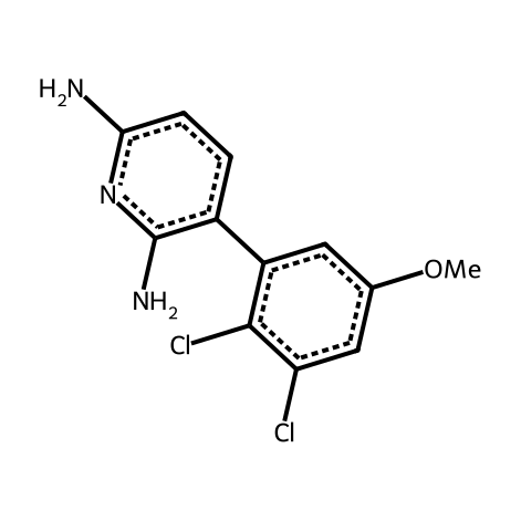 COc1cc(Cl)c(Cl)c(-c2ccc(N)nc2N)c1